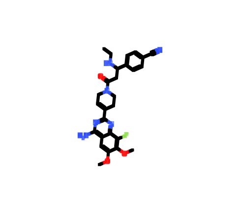 CCNC(CC(=O)N1CC=C(c2nc(N)c3cc(OC)c(OC)c(F)c3n2)CC1)c1ccc(C#N)cc1